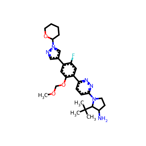 COCOc1cc(-c2cnn(C3CCCCO3)c2)c(F)cc1-c1ccc(N2CCC(N)C2C(C)(C)C)nn1